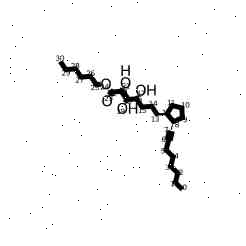 CCCCCCC#C[C@H]1CCC[C@@H]1CCC[C@H](O)C(O)=C(O)C(=O)OCCCCCC